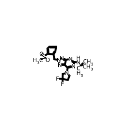 CC(C)(C)Nc1nc(N2CCC(F)(F)C2)c2nn(Cc3ccccc3S(C)(=O)=O)nc2n1